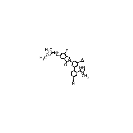 COC[C@H](C)NCc1cc(F)c2c(c1)C(=O)N(c1cc(-c3ccc(C#N)cc3-c3nncn3C)cc(C3CC3)c1)C2